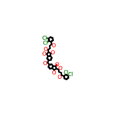 O=C(c1ccc2c(c1)C(=O)C(C(=O)CCC(=O)c1cccc(Cl)c1Cl)C2=O)c1ccc2c(c1)C(=O)C(C(=O)CCC(=O)c1cccc(Cl)c1Cl)C2=O